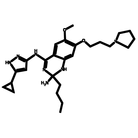 CCCCC1(N)N=C(Nc2cc(C3CC3)[nH]n2)c2cc(OC)c(OCCCN3CCCC3)cc2N1